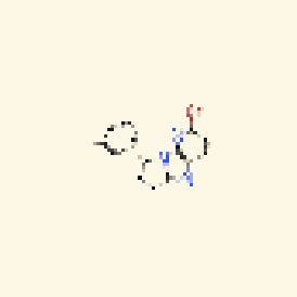 Cc1ccc(C)c([C@H]2CCc3nc4ccc(Br)nc4n32)c1